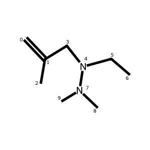 C=C(C)CN(CC)N(C)C